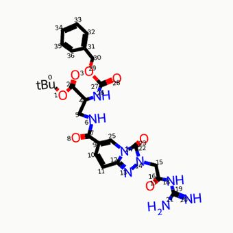 CC(C)(C)OC(=O)C(CNC(=O)c1ccc2nn(CC(=O)NC(=N)N)c(=O)n2c1)NC(=O)OCc1ccccc1